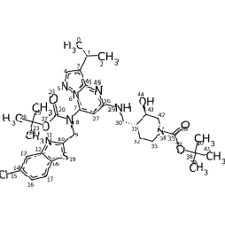 CC(C)c1cnn2c(N(Cc3nc4cc(Cl)ccc4s3)C(=O)OC(C)(C)C)cc(NC[C@H]3CCN(C(=O)OC(C)(C)C)C[C@@H]3O)nc12